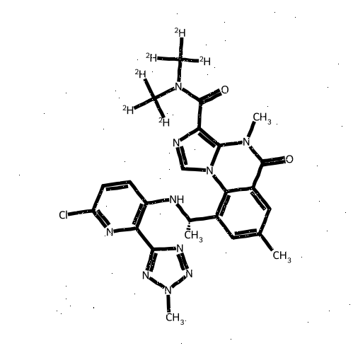 [2H]C([2H])([2H])N(C(=O)c1ncn2c3c([C@H](C)Nc4ccc(Cl)nc4-c4nnn(C)n4)cc(C)cc3c(=O)n(C)c12)C([2H])([2H])[2H]